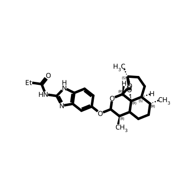 CCC(=O)Nc1nc2cc(OC3O[C@@H]4O[C@]5(C)CC[C@H]6[C@H](C)CCC([C@H]3C)[C@@]46OO5)ccc2[nH]1